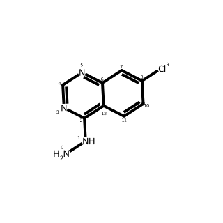 NNc1ncnc2cc(Cl)ccc12